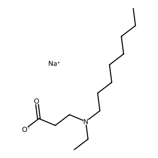 CCCCCCCCN(CC)CCC(=O)[O-].[Na+]